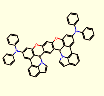 c1ccc(N(c2ccccc2)c2cc3c4c(c2)-c2cccc5ccn(c25)B4c2cc4c(cc2O3)Oc2cc(N(c3ccccc3)c3ccccc3)cc3c2B4n2ccc4cccc-3c42)cc1